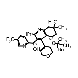 CC(C)c1nc2c(c(C3=CCOCC3)c1[C@H](O)c1ccc(C(F)(F)F)cn1)[C@@H](O[Si](C)(C)C(C)(C)C)CC(C)(C)C2